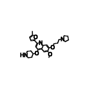 COc1cc2c(OC3CCNCC3)cc(-c3ccc(C)o3)nc2cc1OCCCN1CCCC1